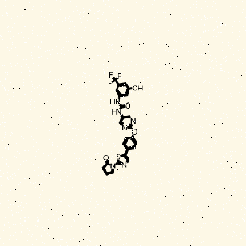 O=C(Nc1cnc(Oc2ccc(-c3cnc(N4CCCC4=O)s3)cc2)nc1)Nc1cc(O)cc(C(F)(F)F)c1